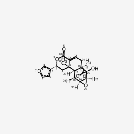 C[C@@]12C[C@H](c3ccoc3)OC(=O)C1=CC[C@]1(C)[C@H]2[C@@H]2OC(=O)[C@@]1(O)[C@H]1O[C@@H]21